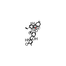 C=C[C@@H]1C=C(C)[C@H]2[C@@H]([C@H]1C=O)[C@H](Oc1ccc(C[C@@]3(O)C=C(C)C(=O)N3)cc1)[C@@H]1[C@@H](C)C[C@@H](C)C[C@]12C